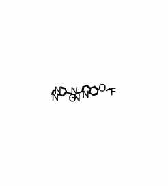 FCCOc1ccc2nc(-c3noc(-c4ccn5ccnc5c4)n3)ccc2c1